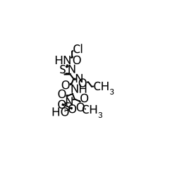 CCCON=C(C(=O)NC1C(=O)N(S(=O)(=O)O)C1C(=O)OC)c1csc(NC(=O)CCl)n1